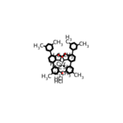 CC1=Cc2c(-c3cc(C)cc(C)c3)ccc(-c3cc(C)cc(C)c3)c2[CH]1[Zr]([CH3])([CH3])(=[SiH2])[CH]1C(C)=Cc2c(-c3cc(C)cc(C)c3)ccc(-c3cc(C)cc(C)c3)c21.Cl.Cl